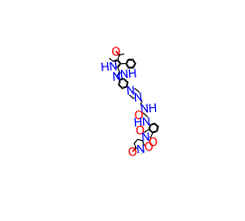 CC(=O)c1c(C)[nH]c(-c2nc3ccc(N4CCN(CCNC(=O)CNc5cccc6c5C(=O)N(C5CCC(=O)N(C)C5=O)C6=O)CC4)cc3[nH]2)c1-c1ccccc1